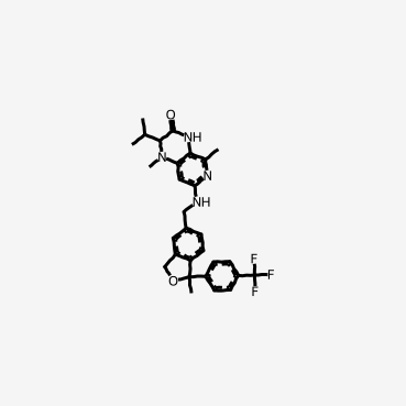 Cc1nc(NCc2ccc3c(c2)COC3(C)c2ccc(C(F)(F)F)cc2)cc2c1NC(=O)C(C(C)C)N2C